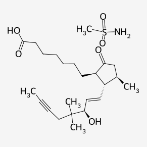 CC#CCC(C)(C)[C@H](O)/C=C/[C@H]1[C@H](C)CC(=O)[C@@H]1CCCCCCC(=O)O.CS(N)(=O)=O